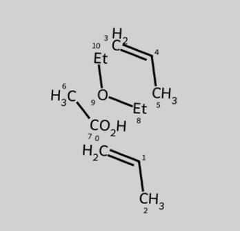 C=CC.C=CC.CC(=O)O.CCOCC